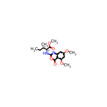 CC[C@H](C)[C@H](Nc1nc2cc(OC)cc(OC)c2c(=O)o1)C(=O)OC